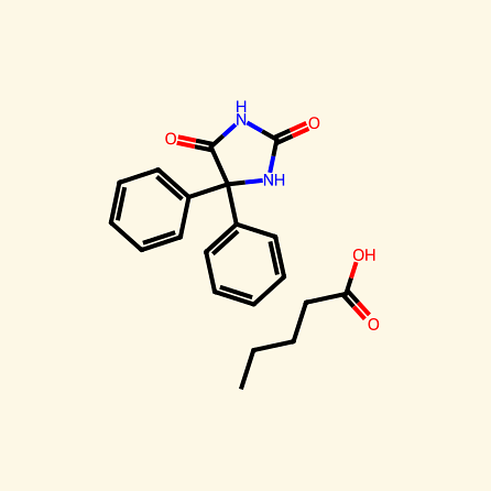 CCCCC(=O)O.O=C1NC(=O)C(c2ccccc2)(c2ccccc2)N1